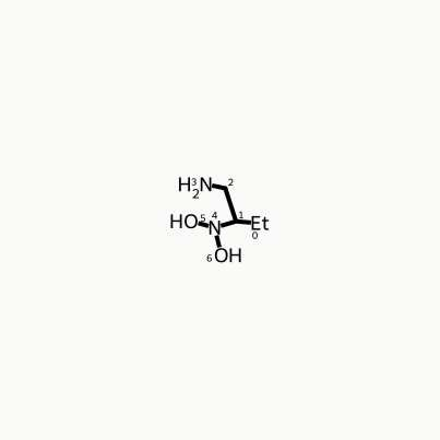 CCC(CN)N(O)O